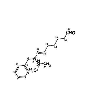 C[SiH](C)N(Cc1ccccc1)N=CCCCCC=O